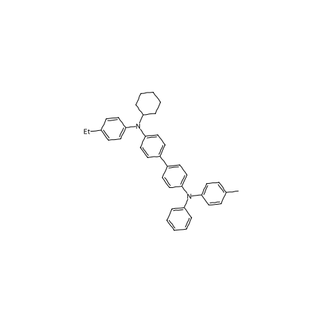 CCc1ccc(N(c2ccc(-c3ccc(N(c4ccccc4)c4ccc(C)cc4)cc3)cc2)C2CCCCC2)cc1